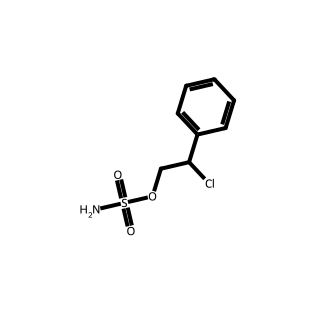 NS(=O)(=O)OCC(Cl)c1ccccc1